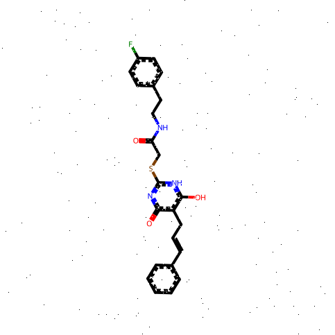 O=C(CSc1nc(=O)c(CC=Cc2ccccc2)c(O)[nH]1)NCCc1ccc(F)cc1